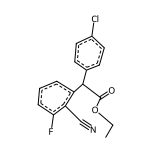 CCOC(=O)C(c1ccc(Cl)cc1)c1cccc(F)c1C#N